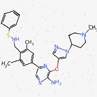 Cc1cc(-c2cnc(N)c(Oc3cnn(C4CCN(C)CC4)c3)n2)cc(C)c1CNSc1ccccc1